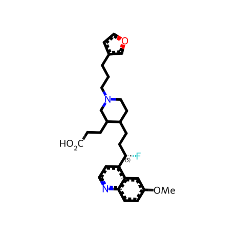 COc1ccc2nccc([C@@H](F)CCC3CCN(CCCc4ccoc4)CC3CCC(=O)O)c2c1